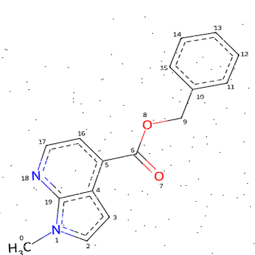 Cn1ccc2c(C(=O)OCc3ccccc3)ccnc21